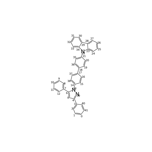 c1ccc(-c2cc(-c3ccccc3)n(-c3ccc(-c4ccc(-n5c6ccccc6c6ccccc65)cc4)cc3)n2)cc1